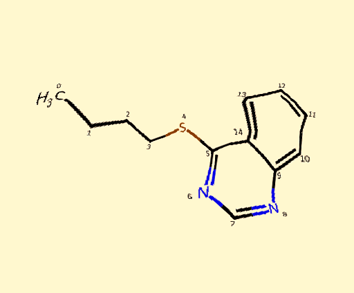 CCCCSc1ncnc2ccccc12